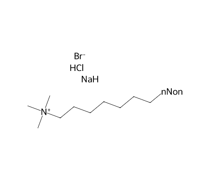 CCCCCCCCCCCCCCCC[N+](C)(C)C.Cl.[Br-].[NaH]